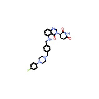 O=C1CCC(n2cnc3cccc(NCc4ccc(CN5CCN(c6ccc(F)cc6)CC5)cc4)c3c2=O)C(=O)N1